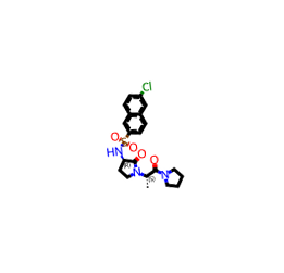 C[C@@H](C(=O)N1CCCC1)N1CC[C@@H](NS(=O)(=O)c2ccc3cc(Cl)ccc3c2)C1=O